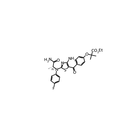 CCOC(=O)C(C)(C)Oc1ccc(C(=O)c2sc(N(c3ccc(F)cc3)[C@H](C)C(N)=O)nc2N)cc1